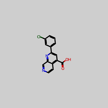 O=C(O)c1cc(-c2cccc(Cl)c2)nc2cnccc12